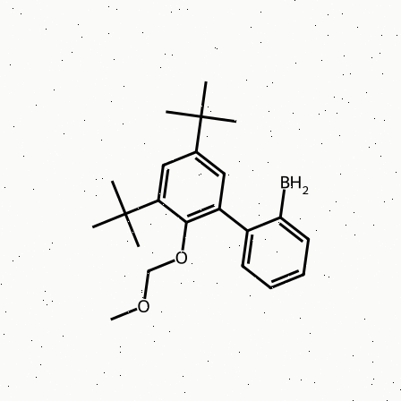 Bc1ccccc1-c1cc(C(C)(C)C)cc(C(C)(C)C)c1OCOC